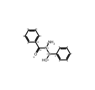 NN(B(O)c1ccccc1)C(=O)c1ccccc1